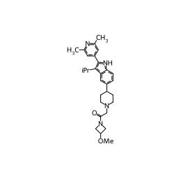 COC1CN(C(=O)CN2CCC(c3ccc4[nH]c(-c5cc(C)nc(C)c5)c(C(C)C)c4c3)CC2)C1